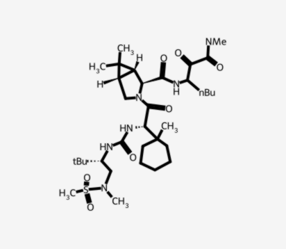 CCCCC(NC(=O)[C@@H]1[C@@H]2[C@H](CN1C(=O)[C@@H](NC(=O)N[C@H](CN(C)S(C)(=O)=O)C(C)(C)C)C1(C)CCCCC1)C2(C)C)C(=O)C(=O)NC